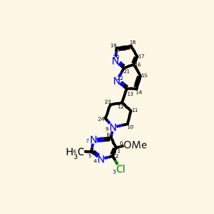 COc1c(Cl)nc(C)nc1N1CCC(c2ccc3cccnc3n2)CC1